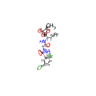 CC(C)CC(NC(=O)CNC(=O)c1cc(Cl)ccc1Br)B1OC(=O)[C@H](C)O1